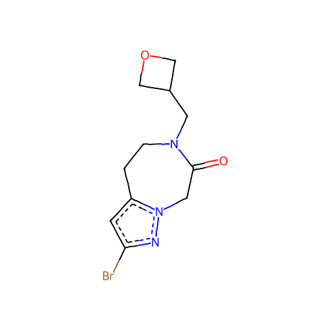 O=C1Cn2nc(Br)cc2CCN1CC1COC1